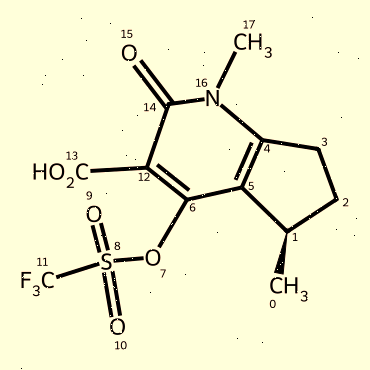 C[C@@H]1CCc2c1c(OS(=O)(=O)C(F)(F)F)c(C(=O)O)c(=O)n2C